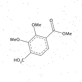 COC(=O)c1ccc(C(=O)O)c(OC)c1OC